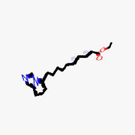 CCOC(=O)/C=C/C=C/CCCCCc1cccc2cncn12